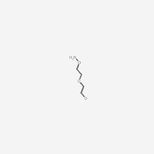 NOCCOCC[O]